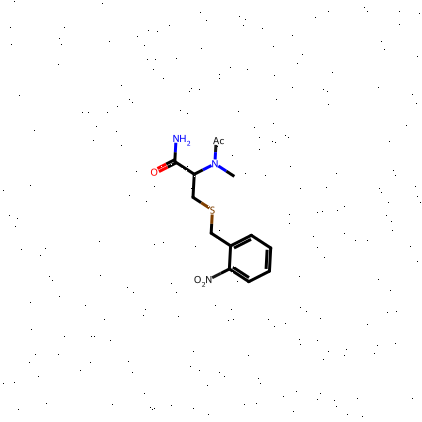 CC(=O)N(C)C(CSCc1ccccc1[N+](=O)[O-])C(N)=O